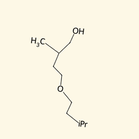 CC(C)CCOCCC(C)CO